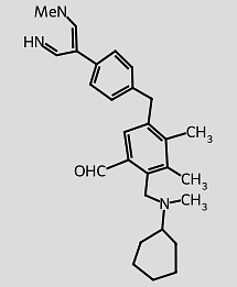 CN/C=C(\C=N)c1ccc(Cc2cc(C=O)c(CN(C)C3CCCCC3)c(C)c2C)cc1